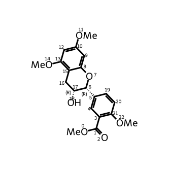 COC(=O)c1cc([C@H]2Oc3cc(OC)cc(OC)c3C[C@H]2O)ccc1OC